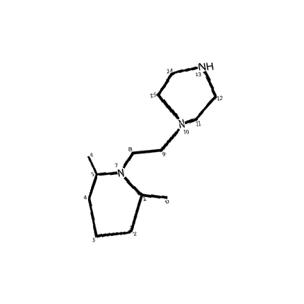 CC1CCCC(C)N1CCN1CCNCC1